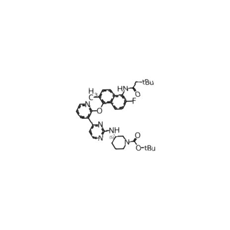 Cc1ccc2c(NC(=O)CC(C)(C)C)c(F)ccc2c1Oc1ncccc1-c1ccnc(N[C@H]2CCCN(C(=O)OC(C)(C)C)C2)n1